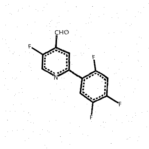 O=Cc1cc(-c2cc(F)c(F)cc2F)ncc1F